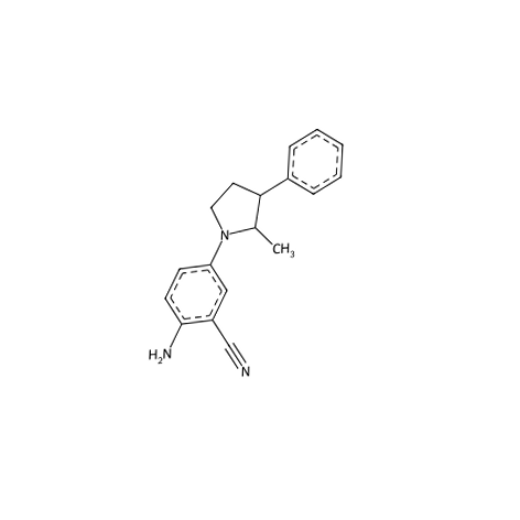 CC1C(c2ccccc2)CCN1c1ccc(N)c(C#N)c1